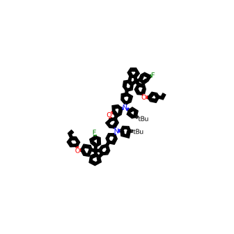 C=CC1=CCC(OC2=CCC(C3(c4ccc(F)cc4)c4ccccc4C4C=CC(C5C=CC(N(C6=CC=C(C(C)(C)C)CC6)C6=CC7c8cc(N(c9ccc(C(C)(C)C)cc9)C9C=CC(C%10C=CC%11=C(C%10)C(c%10ccc(F)cc%10)(c%10ccc(Oc%12ccc(C=C)cc%12)cc%10)c%10ccccc%10%11)=CC9)ccc8OC7CC6)CC5)CC43)C=C2)C=C1